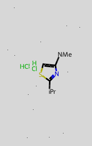 CNc1csc(C(C)C)n1.Cl.Cl